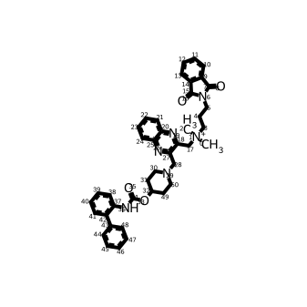 C[N+](C)(CCCN1C(=O)c2ccccc2C1=O)Cc1nc2ccccc2nc1CN1CCC(OC(=O)Nc2ccccc2-c2ccccc2)CC1